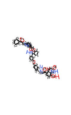 O=C(NC(c1ccccc1)c1cccc(OCc2ccc(CNC[C@@H](O)c3ccc(O)c4[nH]c(=O)ccc34)cc2)c1)O[C@H]1C[N+]2(CC(=O)c3ccccc3)CCC1CC2